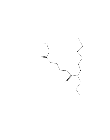 CCCC(CCCCCN)C(=O)CCCCC(=O)OO